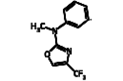 CN(c1c[c]ccc1)c1nc(C(F)(F)F)co1